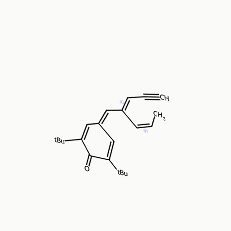 C#C/C=C(C=C1C=C(C(C)(C)C)C(=O)C(C(C)(C)C)=C1)\C=C/C